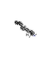 C/C=C\c1ccc2ccc(-c3ccc4cc(C5C=Cc6ccc(-c7ccc8ccc(-c9ccccn9)nc8c7)cc6C5CC)ccc4c3)nc2c1N